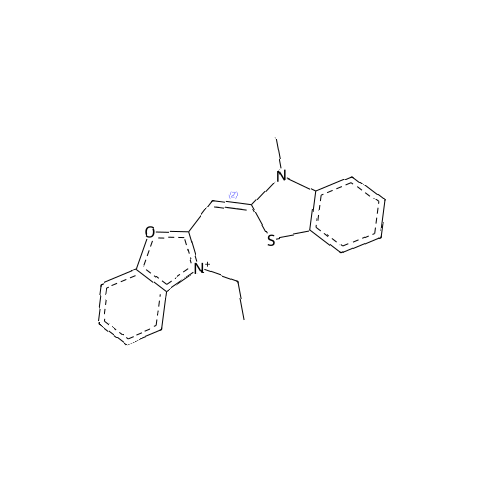 CC[n+]1c(/C=C2\Sc3ccccc3N2C)oc2ccccc21